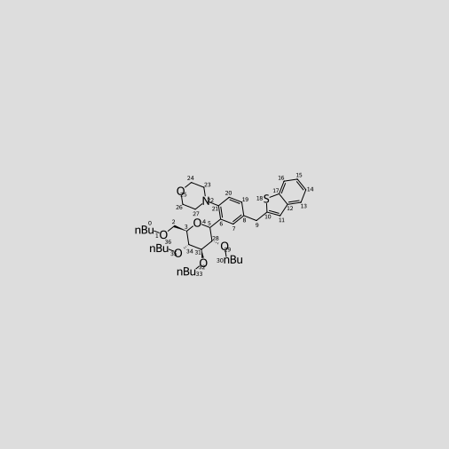 CCCCOC[C@H]1OC(c2cc(Cc3cc4ccccc4s3)ccc2N2CCOCC2)[C@H](OCCCC)[C@@H](OCCCC)[C@@H]1OCCCC